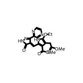 CCOc1[nH]c(/C=C2/C(=O)NN=C2c2cnccn2)c(C(=O)OC)c1CC(=O)OC